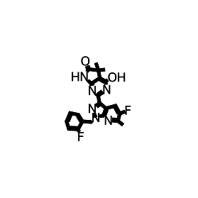 Cc1nc2c(cc1F)c(-c1nc(O)c3c(n1)NC(=O)C3(C)C)nn2Cc1ccccc1F